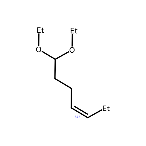 CC/C=C\CCC(OCC)OCC